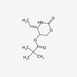 C/C=C1\NC(=O)OCC1OC(=O)C(C)(C)C